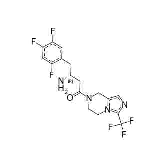 N[C@@H](CC(=O)N1CCn2c(cnc2C(F)(F)F)C1)Cc1cc(F)c(F)cc1F